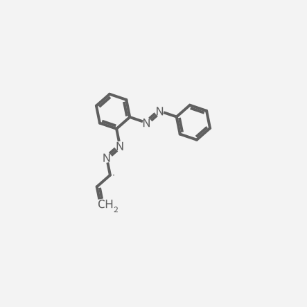 C=C[CH]N=Nc1ccccc1N=Nc1ccccc1